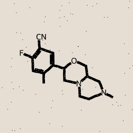 Cc1cc(F)c(C#N)cc1C1CN2CCN(C)CC2CO1